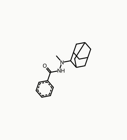 CN(NC(=O)c1ccccc1)C1C2CC3CC(C2)CC1C3